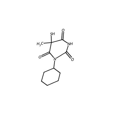 CC1(S)C(=O)NC(=O)N(C2CCCCC2)C1=O